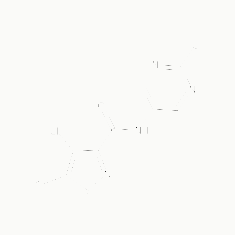 O=C(Nc1cnc(Cl)nc1)c1nsc(Cl)c1Cl